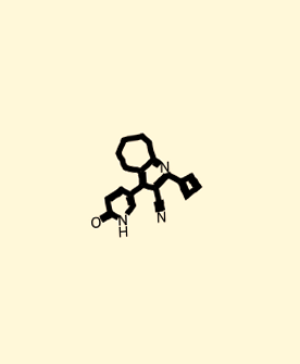 N#Cc1c(C2=CC=C2)nc2c(c1-c1ccc(=O)[nH]c1)CCCCC2